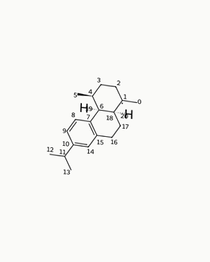 C[C]1CC[C@H](C)[C@@H]2c3ccc(C(C)C)cc3CC[C@H]12